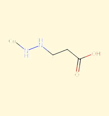 O=C(O)CCN[NH][Cu]